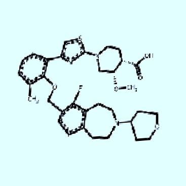 CO[C@@H]1CN(c2nc(-c3cccc(C)c3OCc3ccc4c(c3F)CCN(C3CCOCC3)CC4)cs2)CC[C@@H]1C(=O)O